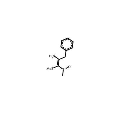 CSC(=C(N)Cc1ccccc1)[S+](C)[O-]